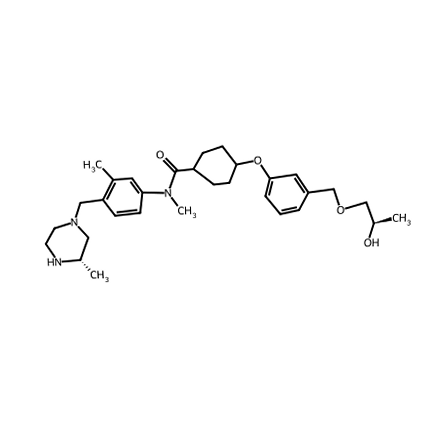 Cc1cc(N(C)C(=O)C2CCC(Oc3cccc(COC[C@@H](C)O)c3)CC2)ccc1CN1CCN[C@@H](C)C1